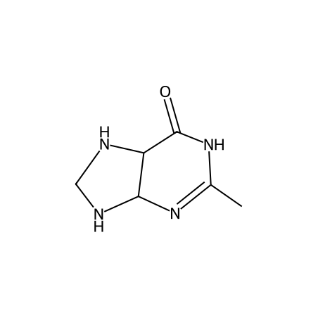 CC1=NC2NCNC2C(=O)N1